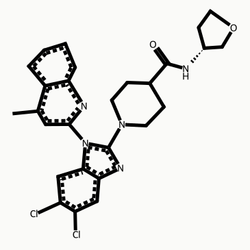 Cc1cc(-n2c(N3CCC(C(=O)N[C@@H]4CCOC4)CC3)nc3cc(Cl)c(Cl)cc32)nc2ccccc12